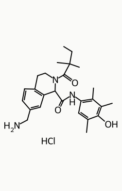 CCC(C)(C)C(=O)N1CCc2ccc(CN)cc2C1C(=O)Nc1cc(C)c(O)c(C)c1C.Cl